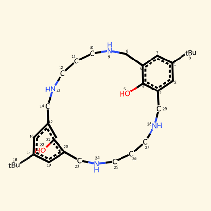 CC(C)(C)c1cc2c(O)c(c1)CNCCCNCc1cc(C(C)(C)C)cc(c1O)CNCCCNC2